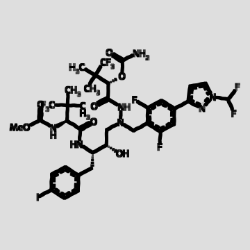 COC(=O)N[C@H](C(=O)N[C@@H](Cc1ccc(I)cc1)[C@@H](O)CN(Cc1c(F)cc(-c2ccn(C(F)F)n2)cc1F)NC(=O)[C@@H](OC(N)=O)C(C)(C)C(F)(F)F)C(C)(C)C(F)(F)F